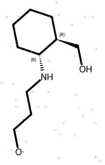 [O]CCCN[C@@H]1CCCC[C@H]1CO